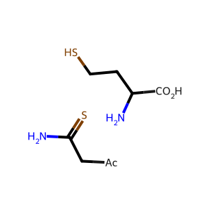 CC(=O)CC(N)=S.NC(CCS)C(=O)O